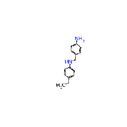 CCc1ccc(NCc2ccc(N)cc2)cc1